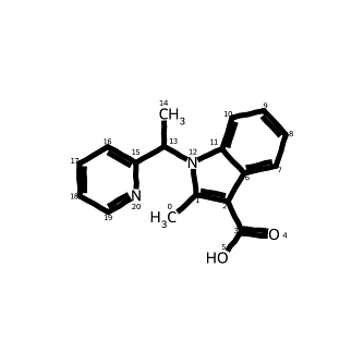 Cc1c(C(=O)O)c2ccccc2n1C(C)c1ccccn1